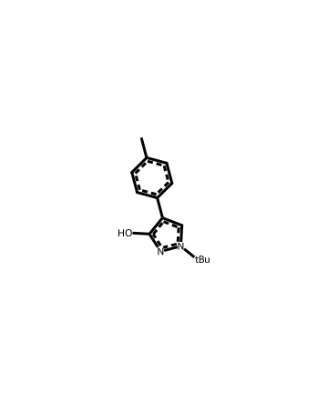 Cc1ccc(-c2cn(C(C)(C)C)nc2O)cc1